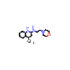 CC1CC(NCCN2CCOCC2)NC2CCCCC12